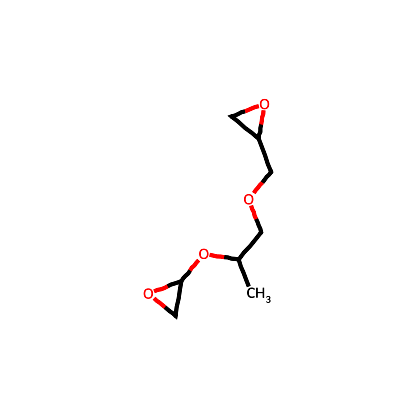 CC(COCC1CO1)OC1CO1